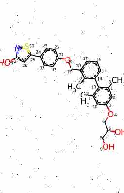 Cc1cc(OC[C@@H](O)CO)cc(C)c1-c1cccc(COc2ccc(-c3cc(O)ns3)cc2)c1C